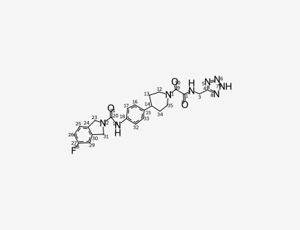 O=C(NCc1nn[nH]n1)C(=O)N1CCC(c2ccc(NC(=O)N3Cc4ccc(F)cc4C3)cc2)CC1